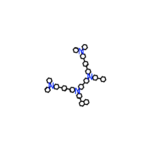 C1=CC(N(C2CCCCC2)C2CCC(C3CC=C(C4=CCC(N(C5CC=C(C6CCCC7CCCCC76)CC5)C5CCC(C6CCC(N(C7CCC(C8=CCC(C9CCC(N(C%10C=CCCC%10)C%10CCCCC%10)CC9)CC8)CC7)C7CCC(C8CCCCC8)CC7)CC6)CC5)CC4)CC3)CC2)CCC1